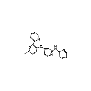 Cc1ccc(Oc2ccnc(Nc3ccccn3)c2)c(-c2ccccn2)n1